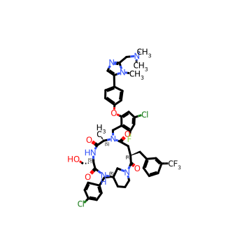 C[C@H]1C(=O)N[C@@H](CO)C(=O)N[C@@]2(Cc3ccc(Cl)cc3)CCCN(C2)C(=O)[C@H](Cc2cccc(C(F)(F)F)c2)CC(=O)N1Cc1c(F)cc(Cl)cc1Oc1ccc(-c2cnc(CN(C)C)n2C)cc1